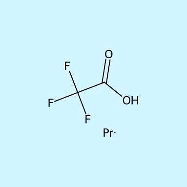 O=C(O)C(F)(F)F.[Pr]